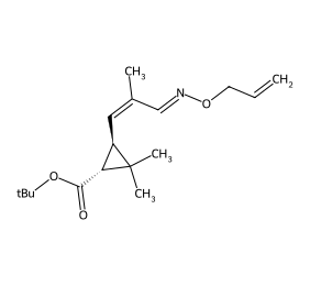 C=CCO/N=C/C(C)=C[C@@H]1[C@@H](C(=O)OC(C)(C)C)C1(C)C